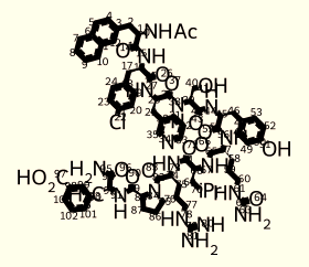 CC(=O)N[C@H](Cc1ccc2ccccc2c1)C(=O)N[C@H](Cc1ccc(Cl)cc1)C(=O)N[C@H](Cc1cccnc1)C(=O)N[C@@H](CO)C(=O)N[C@@H](Cc1ccc(O)cc1)C(=O)N[C@H](CCCNC(N)=O)C(=O)N[C@@H](CC(C)C)C(=O)N[C@@H](CCCNC(=N)N)C(=O)N1CCC[C@H]1C(=O)N[C@H](C)C(N)=O.O=C(O)c1ccccc1